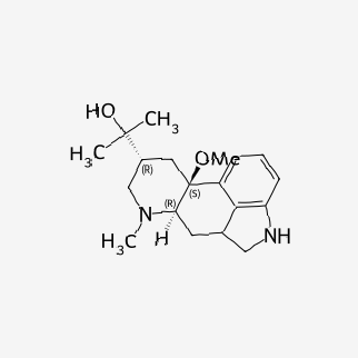 CO[C@]12C[C@@H](C(C)(C)O)CN(C)[C@@H]1CC1CNc3cccc2c31